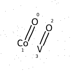 [O]=[Co].[O]=[V]